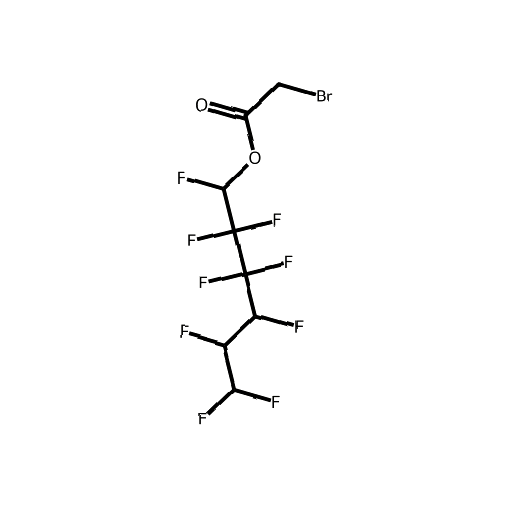 O=C(CBr)OC(F)C(F)(F)C(F)(F)C(F)C(F)C(F)F